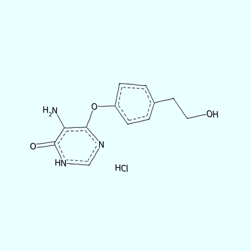 Cl.Nc1c(Oc2ccc(CCO)cc2)nc[nH]c1=O